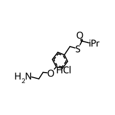 CC(C)C(=O)SCc1ccc(OCCN)cc1.Cl